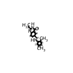 CCc1nc2ccc(CNc3cc(C)ccc3C)cc2c(=O)[nH]1